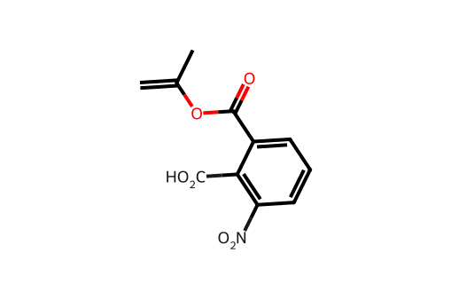 C=C(C)OC(=O)c1cccc([N+](=O)[O-])c1C(=O)O